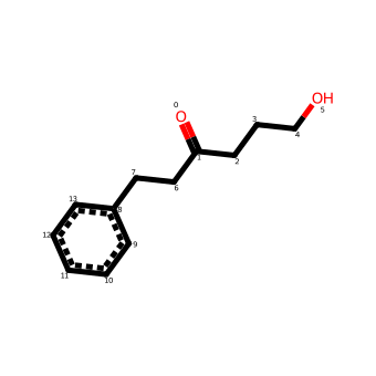 O=C(CCCO)CCc1ccccc1